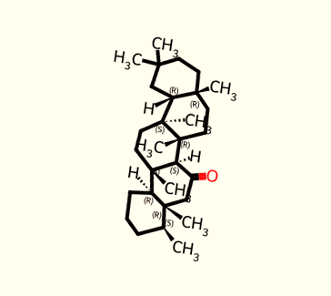 C[C@H]1CCC[C@@H]2[C@]1(C)CC(=O)[C@H]1[C@@]2(C)CC[C@@]2(C)[C@@H]3CC(C)(C)CC[C@]3(C)CC[C@]12C